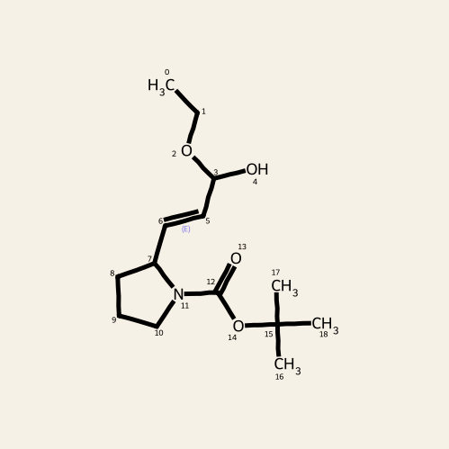 CCOC(O)/C=C/C1CCCN1C(=O)OC(C)(C)C